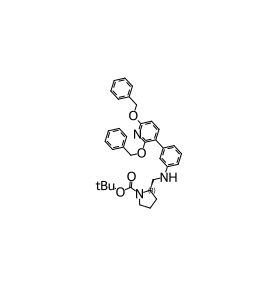 CC(C)(C)OC(=O)N1CCC[C@@H]1CNc1cccc(-c2ccc(OCc3ccccc3)nc2OCc2ccccc2)c1